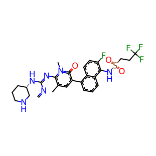 C=N/C(=N\c1c(C)cc(-c2cccc3c(NS(=O)(=O)CCC(F)(F)F)c(F)ccc23)c(=O)n1C)N[C@H]1CCCNC1